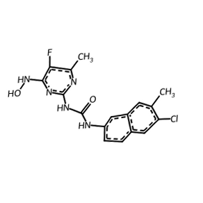 Cc1cc2cc(NC(=O)Nc3nc(C)c(F)c(NO)n3)ccc2cc1Cl